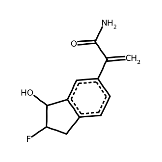 C=C(C(N)=O)c1ccc2c(c1)C(O)C(F)C2